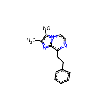 Cc1nc2c(CCc3ccccc3)nccn2c1N=O